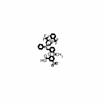 COc1cccc(CN(c2ccccc2)N2CCN(c3ccccc3C(F)(F)F)C(C(F)(F)F)C2)c1Oc1ccc([N+](=O)[O-])cc1C(=O)O